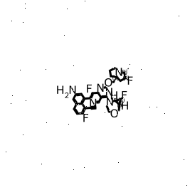 C#Cc1c(F)ccc2cc(N)cc(-c3ncc4c(N5CCOC[C@H]6[C@H](F)[C@H]65)nc(OC[C@@]56CCCN5[C@H](C)[C@H](F)C6)nc4c3F)c12